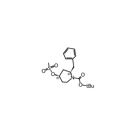 CC(C)(C)OC(=O)N1CC[C@@H](OS(C)(=O)=O)C[C@H]1Cc1ccccc1